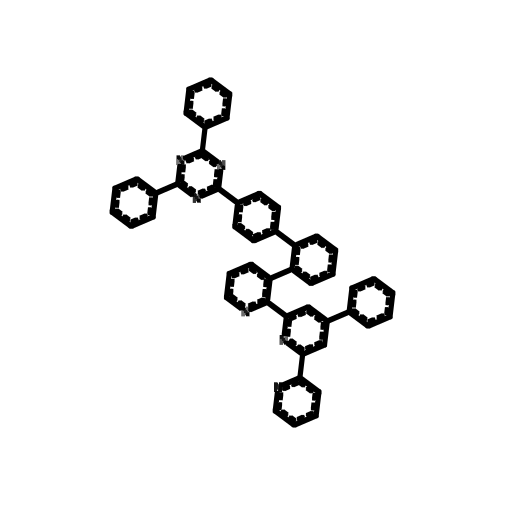 c1ccc(-c2cc(-c3ccccn3)nc(-c3ncccc3-c3ccccc3-c3ccc(-c4nc(-c5ccccc5)nc(-c5ccccc5)n4)cc3)c2)cc1